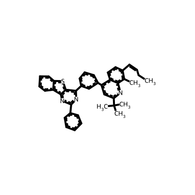 CC/C=C\c1ccc2c(-c3cccc(-c4nc(-c5ccccc5)nc5c4sc4ccccc45)c3)cc(C(C)(C)C)nc2c1C